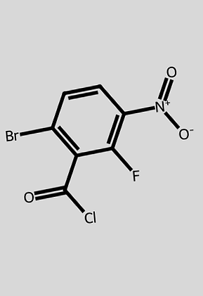 O=C(Cl)c1c(Br)ccc([N+](=O)[O-])c1F